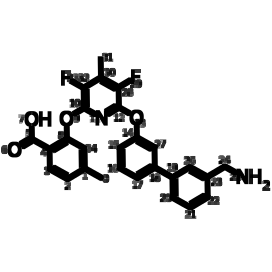 Cc1ccc(C(=O)O)c(Oc2nc(Oc3cccc(-c4cccc(CN)c4)c3)c(F)c(C)c2F)c1